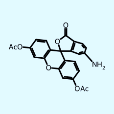 CC(=O)Oc1ccc2c(c1)Oc1cc(OC(C)=O)ccc1C21OC(=O)c2ccc(N)cc21